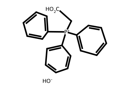 O=C(O)C[P+](c1ccccc1)(c1ccccc1)c1ccccc1.[OH-]